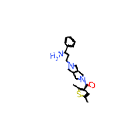 Cc1cc(C(=O)N2CC3CN(CC[C@H](N)c4ccccc4)CC3C2)c(C)s1